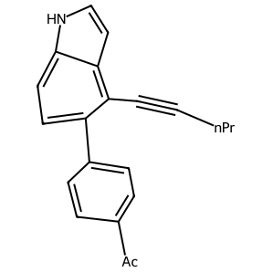 CCCC#Cc1c(-c2ccc(C(C)=O)cc2)ccc2[nH]ccc12